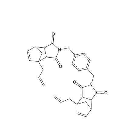 C=CCC12C=CC(C1)C1C(=O)N(Cc3ccc(CN4C(=O)C5C6C=CC(CC=C)(C6)C5C4=O)cc3)C(=O)C12